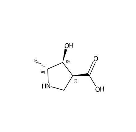 C[C@H]1NC[C@H](C(=O)O)[C@@H]1O